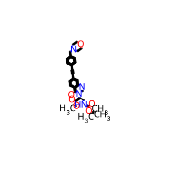 COC(=O)[C@H](CNC(=O)OC(C)(C)C)n1cnc2cc(C#Cc3ccc(CN4CCOCC4)cc3)ccc2c1=O